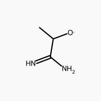 CC([O])C(=N)N